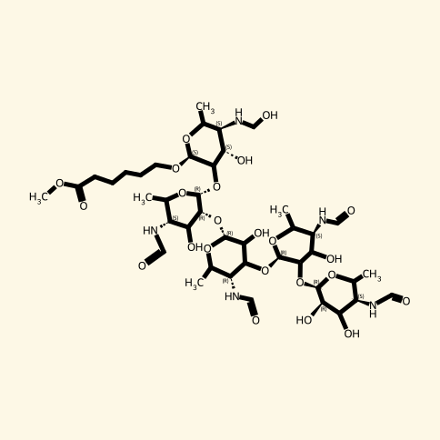 COC(=O)CCCCCO[C@H]1OC(C)[C@@H](NCO)[C@H](O)C1O[C@H]1OC(C)[C@@H](NC=O)C(O)[C@H]1O[C@H]1OC(C)[C@@H](NC=O)C(O[C@H]2OC(C)[C@@H](NC=O)C(O)C2O[C@H]2OC(C)[C@@H](NC=O)C(O)[C@H]2O)C1O